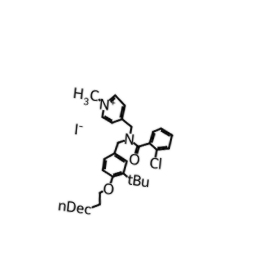 CCCCCCCCCCCCOc1ccc(CN(Cc2cc[n+](C)cc2)C(=O)c2ccccc2Cl)cc1C(C)(C)C.[I-]